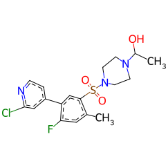 Cc1cc(F)c(-c2ccnc(Cl)c2)cc1S(=O)(=O)N1CCN(C(C)O)CC1